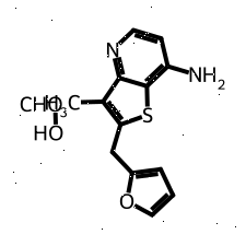 Cc1c(Cc2ccco2)sc2c(N)ccnc12.O=CO